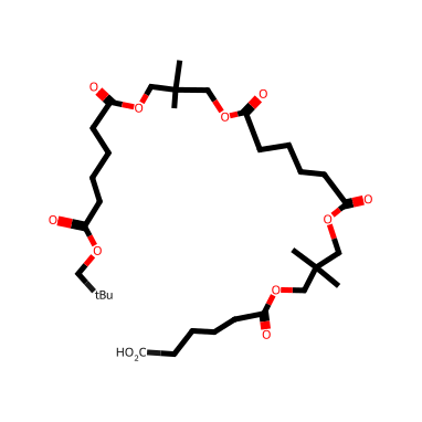 CC(C)(C)COC(=O)CCCCC(=O)OCC(C)(C)COC(=O)CCCCC(=O)OCC(C)(C)COC(=O)CCCCC(=O)O